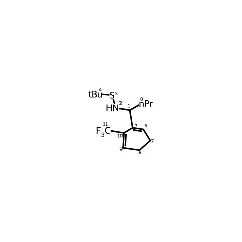 CCCC(NSC(C)(C)C)C1=CCCC=C1C(F)(F)F